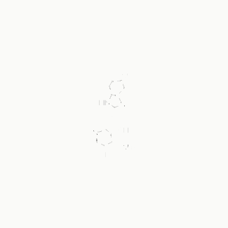 COc1c(C)cnc(CSc2nc3cc4c(cc3[nH]2)OCO4)c1C